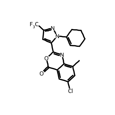 Cc1cc(Cl)cc2c(=O)oc(-c3cc(C(F)(F)F)nn3C3=CCCCC3)nc12